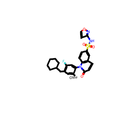 COc1cc(CC2CCCCC2)c(F)cc1-n1c(=O)ccc2cc(S(=O)(=O)Nc3ccon3)ccc21